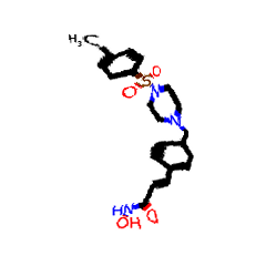 Cc1ccc(S(=O)(=O)N2CCN(Cc3ccc(C=CC(=O)NO)cc3)CC2)cc1